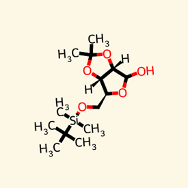 CC1(C)O[C@H]2[C@H](CO[Si](C)(C)C(C)(C)C)OC(O)[C@H]2O1